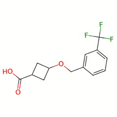 O=C(O)C1CC(OCc2cccc(C(F)(F)F)c2)C1